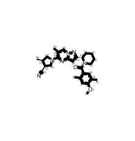 COc1cc(C)c(C(=O)N2CCCC[C@H]2c2cc3nc(N4C[C@@H](C#N)[C@@H](C)C4)c(C)cn3n2)cc1C